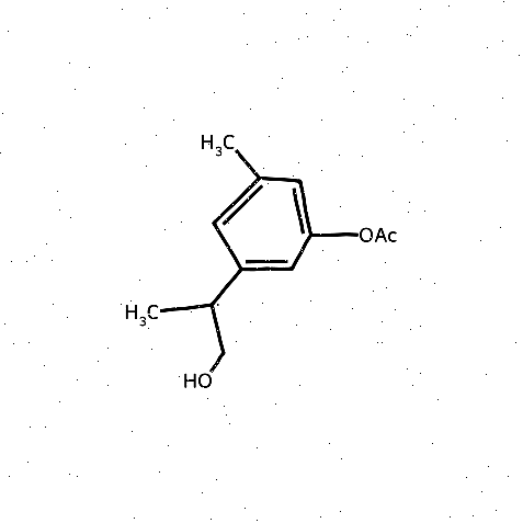 C[C](CO)c1cc(C)cc(OC(C)=O)c1